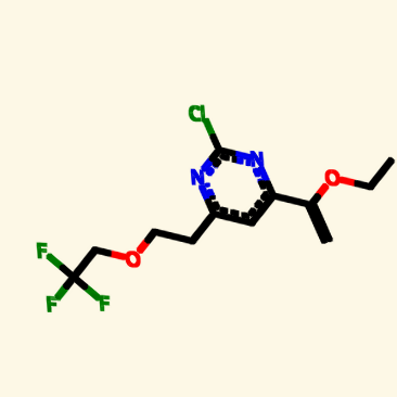 C=C(OCC)c1cc(CCOCC(F)(F)F)nc(Cl)n1